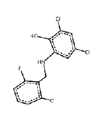 Oc1c(Cl)cc(Cl)cc1NCc1c(F)cccc1Cl